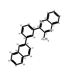 Cc1nc2ccccc2nc1-c1cccc(-c2ccc3ccccc3c2)c1